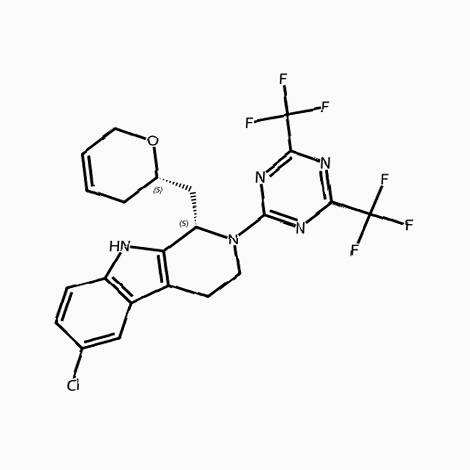 FC(F)(F)c1nc(N2CCc3c([nH]c4ccc(Cl)cc34)[C@@H]2C[C@@H]2CC=CCO2)nc(C(F)(F)F)n1